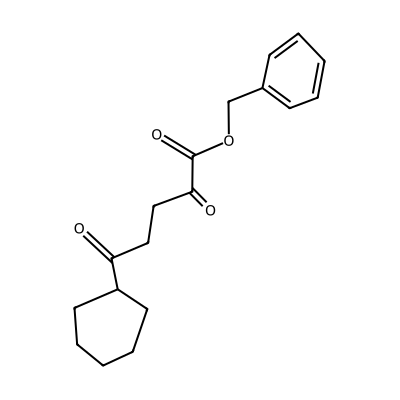 O=C(CCC(=O)C1CCCCC1)C(=O)OCc1ccccc1